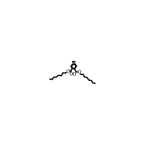 C=C.CCCCCCCCOC(=O)c1ccccc1C(=O)OCCCCCCCC